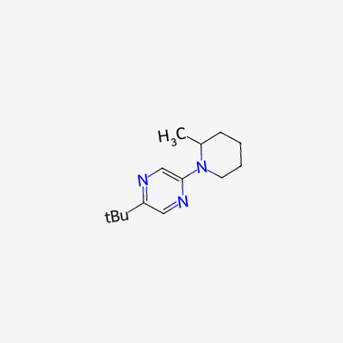 CC1CCCCN1c1cnc(C(C)(C)C)cn1